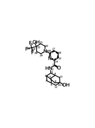 O=C(NC1C2CC3CC1CC(O)(C3)C2)c1cccc(N2CCC(O)(C(F)(F)F)CC2)n1